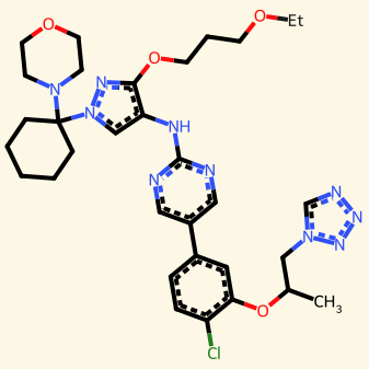 CCOCCCOc1nn(C2(N3CCOCC3)CCCCC2)cc1Nc1ncc(-c2ccc(Cl)c(OC(C)Cn3cnnn3)c2)cn1